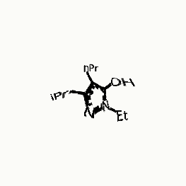 CCCc1c(C(C)C)nn(CC)c1O